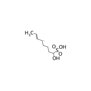 CC=C[CH]CCCC(O)S(=O)(=O)O